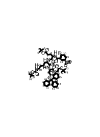 CC(C)(C)OC(=O)CCC(NC(=O)c1cc([N+](=O)[O-])ccc1F)C(=O)NC(CCCCNC(=O)OC(C)(C)C)C(=O)NC(CCOC(c1ccccc1)(c1ccccc1)c1ccccc1)C(=O)NCC(=O)OC(C)(C)C